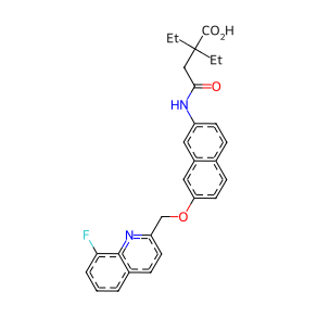 CCC(CC)(CC(=O)Nc1ccc2ccc(OCc3ccc4cccc(F)c4n3)cc2c1)C(=O)O